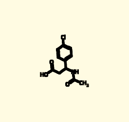 CC(=O)NC(CC(=O)O)c1ccc(Cl)cc1